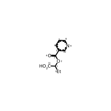 CCC(OC(=O)c1cccnc1)C(=O)O